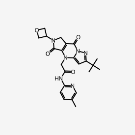 Cc1ccc(NC(=O)Cn2c3c(c(=O)n4nc(C(C)(C)C)cc24)CN(C2COC2)C3=O)nc1